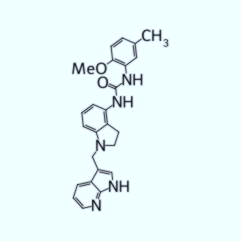 COc1ccc(C)cc1NC(=O)Nc1cccc2c1CCN2Cc1c[nH]c2ncccc12